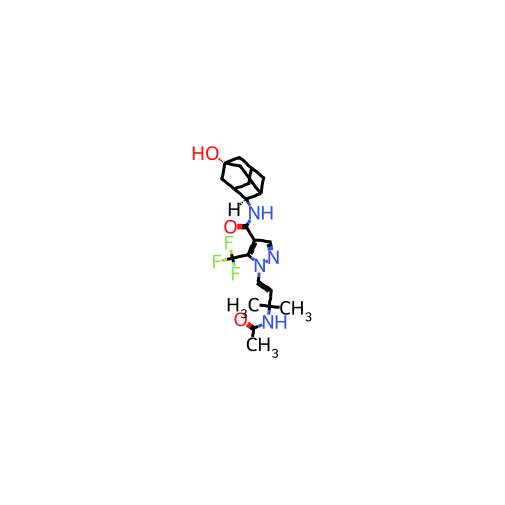 CC(=O)NC(C)(C)/C=C/n1ncc(C(=O)N[C@H]2C3CC4CC2C[C@](O)(C4)C3)c1C(F)(F)F